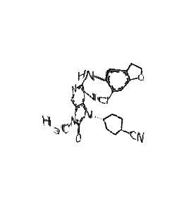 Cn1c(=O)n([C@H]2CC[C@H](C#N)CC2)c2nc(Nc3cc4c(cc3Cl)OCC4)ncc21